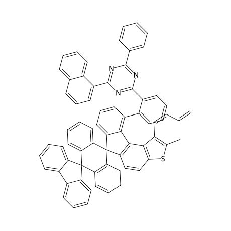 C=C/C=C\c1c(C)sc2ccc3c(c12)-c1c(-c2ccccc2-c2nc(-c4ccccc4)nc(-c4cccc5ccccc45)n2)cccc1C31C2=C(C=CCC2)C2(c3ccccc3-c3ccccc32)c2ccccc21